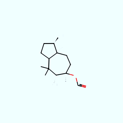 C[C@@H]1C(C)(C)C2CC[C@@H](C)[C@@]2(C)CC[C@@]1(C)OC=O